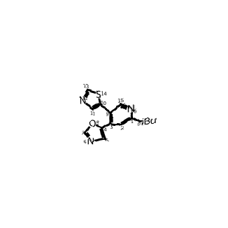 CCC(C)c1cc(-c2cnco2)c(-c2cncs2)[c]n1